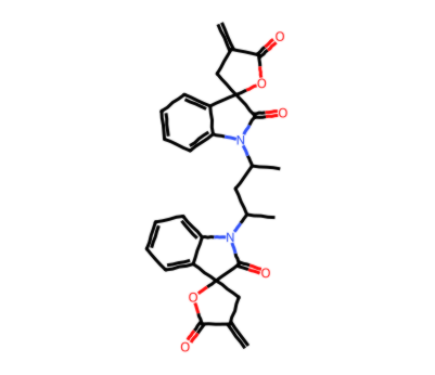 C=C1CC2(OC1=O)C(=O)N(C(C)CC(C)N1C(=O)C3(CC(=C)C(=O)O3)c3ccccc31)c1ccccc12